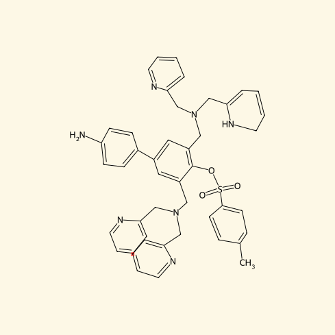 Cc1ccc(S(=O)(=O)Oc2c(CN(CC3=CC=CCN3)Cc3ccccn3)cc(-c3ccc(N)cc3)cc2CN(Cc2ccccn2)Cc2ccccn2)cc1